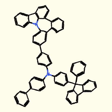 c1ccc(-c2ccc(N(c3ccc(-c4ccc5c(c4)-c4ccccc4-c4cccc6c7ccccc7n-5c46)cc3)c3ccc(C4(c5ccccc5)c5ccccc5-c5ccccc54)cc3)cc2)cc1